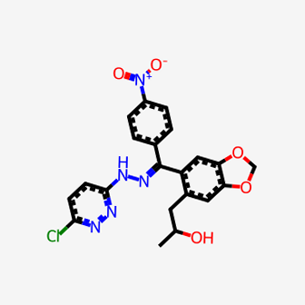 CC(O)Cc1cc2c(cc1C(=NNc1ccc(Cl)nn1)c1ccc([N+](=O)[O-])cc1)OCO2